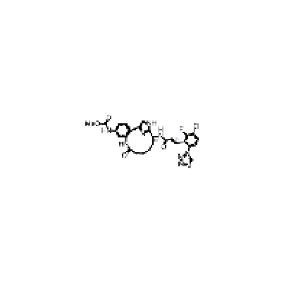 COC(=O)Nc1ccc2c(c1)NC(=O)CCCC[C@H](NC(=O)/C=C/c1c(-n3cnnn3)ccc(Cl)c1F)c1nc-2c[nH]1